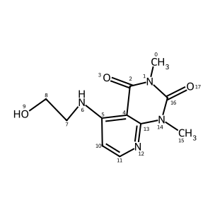 Cn1c(=O)c2c(NCCO)ccnc2n(C)c1=O